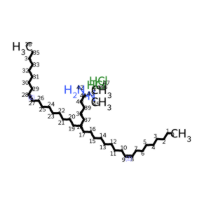 CCCCCCCC/C=C\CCCCCCCCC(CCCCCCCC/C=C\CCCCCCCC)CCCCC(N)N(C)C.Cl.Cl